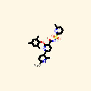 COc1ccc(-c2ccc(C(=O)NS(=O)(=O)c3cccc(C)n3)c(Oc3c(C)cc(C)cc3C)n2)c(C)n1